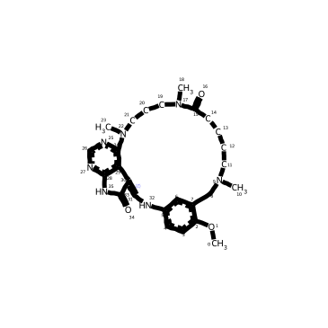 COc1ccc2cc1CN(C)CCCCC(=O)N(C)CCCN(C)c1ncnc3c1/C(=C/N2)C(=O)N3